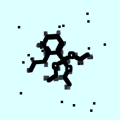 CCCc1ncccc1[Si](OCC)(OCC)OCC